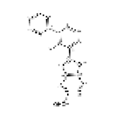 Cc1c(-c2ccccc2)cccc1-c1cc2nc(C=O)ccc2o1